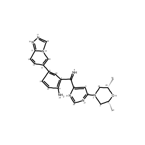 C[C@@H]1CN(c2cc(C(=N)c3cc(-c4ccc5nncn5c4)ccc3N)ncn2)C[C@H](C)O1